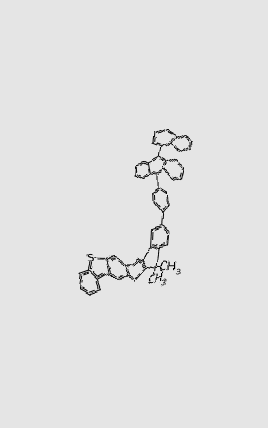 CC1(C)c2ccc(-c3ccc(-c4c5ccccc5c(-c5cccc6ccccc56)c5ccccc45)cc3)cc2-c2cc3cc4sc5ccccc5c4cc3cc21